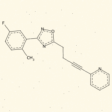 Cc1ccc(F)cc1-c1noc(CCC#Cc2ccccn2)n1